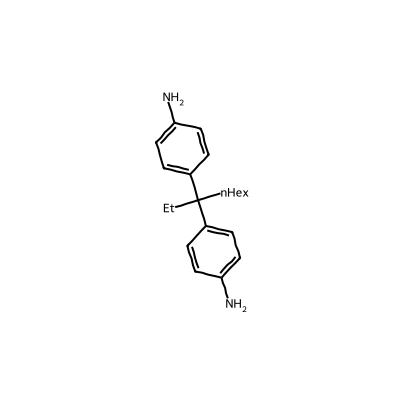 CCCCCCC(CC)(c1ccc(N)cc1)c1ccc(N)cc1